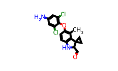 Cc1c(Oc2c(Cl)cc(N)cc2Cl)ccc2c1C1(CC1)C(C=O)N2